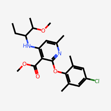 CCC(Nc1cc(C)nc(Oc2c(C)cc(Cl)cc2C)c1C(=O)OC)C(C)OC